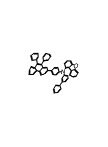 c1ccc(-c2cccc(N(c3ccc(-c4ccc5c(c4)c(-c4ccccc4)c(-c4ccccc4)c4ccccc45)cc3)c3cccc4oc5ccccc5c34)c2)cc1